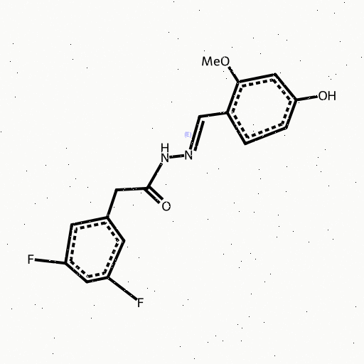 COc1cc(O)ccc1/C=N/NC(=O)Cc1cc(F)cc(F)c1